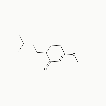 CCOC1=CC(=O)C(CCC(C)C)CC1